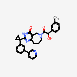 O=C(C(O)c1cccc(C(F)(F)F)c1)N1CCCc2nc(C3(c4cccc(-c5cccnc5)c4)CC3)[nH]c(=O)c2C1